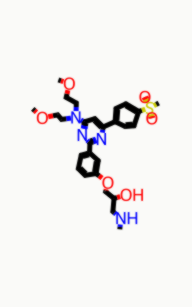 CNCC(O)COc1cccc(-c2nc(-c3ccc(S(C)(=O)=O)cc3)cc(N(CCOC)CCOC)n2)c1